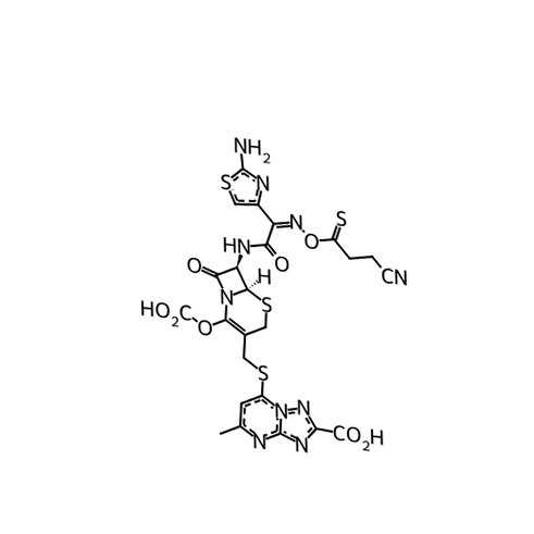 Cc1cc(SCC2=C(OC(=O)O)N3C(=O)[C@@H](NC(=O)/C(=N\OC(=S)CCC#N)c4csc(N)n4)[C@H]3SC2)n2nc(C(=O)O)nc2n1